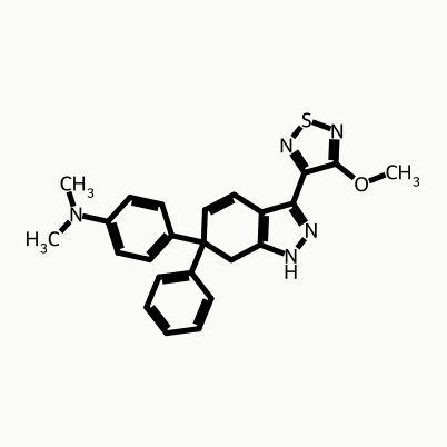 COc1nsnc1-c1n[nH]c2c1C=CC(c1ccccc1)(c1ccc(N(C)C)cc1)C2